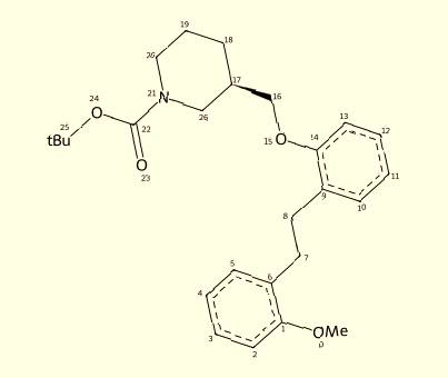 COc1ccccc1CCc1ccccc1OC[C@@H]1CCCN(C(=O)OC(C)(C)C)C1